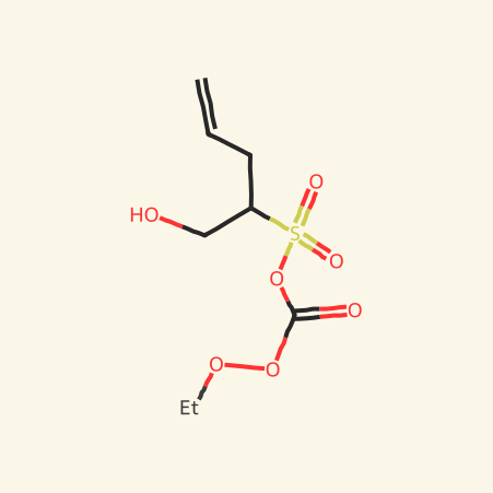 C=CCC(CO)S(=O)(=O)OC(=O)OOCC